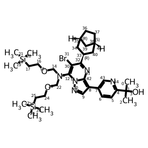 CC(C)(O)c1ccc(-c2cnn3c(N(COCC[Si](C)(C)C)COCC[Si](C)(C)C)c(Br)c([C@H]4C[C@@H]5CC[C@@H](C5)C4)nc23)cn1